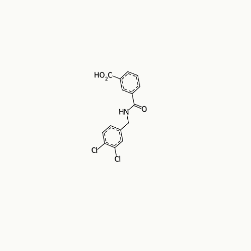 O=C(O)c1cccc(C(=O)NCc2ccc(Cl)c(Cl)c2)c1